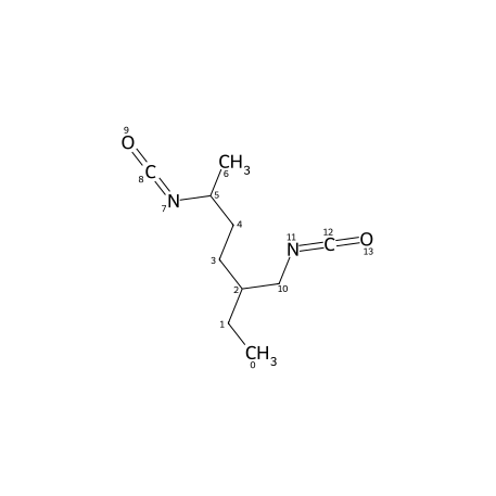 CCC(CCC(C)N=C=O)CN=C=O